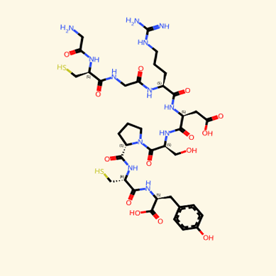 N=C(N)NCCC[C@H](NC(=O)CNC(=O)[C@@H](CS)NC(=O)CN)C(=O)N[C@@H](CC(=O)O)C(=O)N[C@@H](CO)C(=O)N1CCC[C@H]1C(=O)N[C@@H](CS)C(=O)N[C@@H](Cc1ccc(O)cc1)C(=O)O